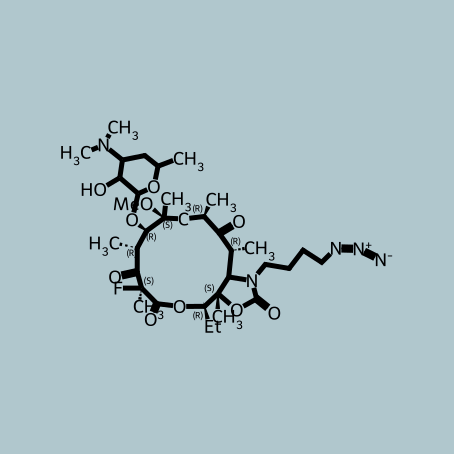 CC[C@H]1OC(=O)[C@@](C)(F)C(=O)[C@H](C)[C@@H](OC2OC(C)CC(N(C)C)C2O)[C@@](C)(OC)C[C@@H](C)C(=O)[C@H](C)C2N(CCCCN=[N+]=[N-])C(=O)O[C@@]21C